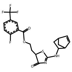 O=C(OCCC1SC(NC2CC3C=CC2C3)=NC1=O)c1cc(C(F)(F)F)ccc1F